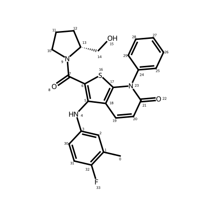 Cc1cc(Nc2c(C(=O)N3CCC[C@@H]3CO)sc3c2ccc(=O)n3-c2ccccc2)ccc1F